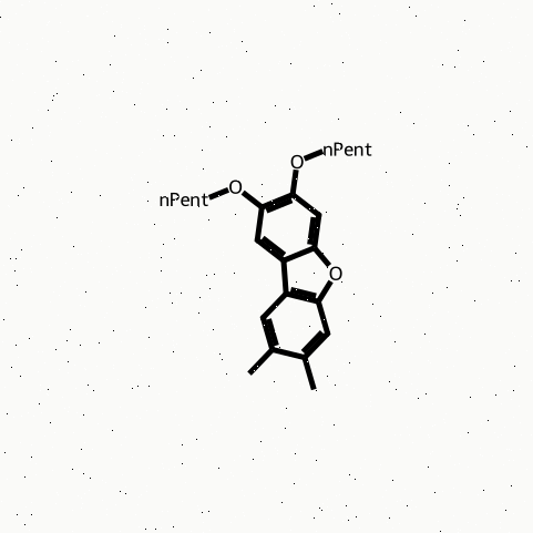 CCCCCOc1cc2oc3cc(C)c(C)cc3c2cc1OCCCCC